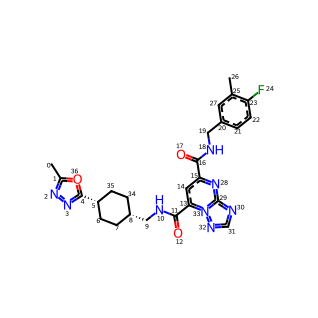 Cc1nnc([C@H]2CC[C@@H](CNC(=O)c3cc(C(=O)NCc4ccc(F)c(C)c4)nc4ncnn34)CC2)o1